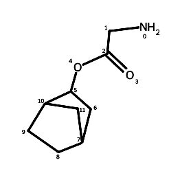 NCC(=O)OC1CC2CCC1C2